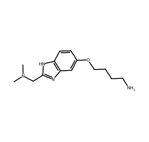 CN(C)Cc1nc2cc(OCCCCN)ccc2[nH]1